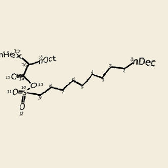 CCCCCCCCCCCCCCCCCCCS(=O)(=O)OC(=O)C(CCCCCC)CCCCCCCC